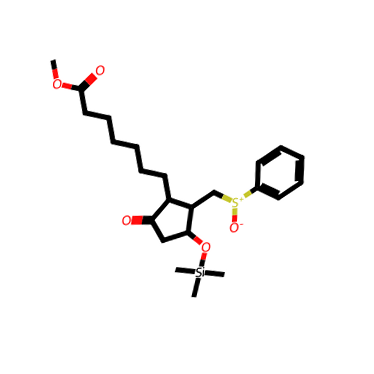 COC(=O)CCCCCCC1C(=O)CC(O[Si](C)(C)C)C1C[S+]([O-])c1ccccc1